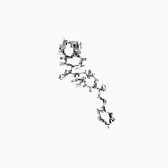 O=C(/C=C/c1cccnc1)N1CC[C@@H]2CN(C(=O)c3ccc4[nH]nnc4c3)C[C@@H]2CC1